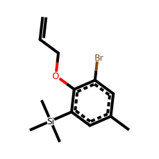 C=CCOc1c(Br)cc(C)cc1[Si](C)(C)C